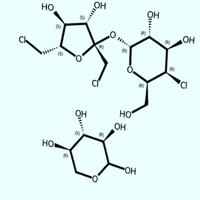 OC1OC[C@@H](O)[C@H](O)[C@H]1O.OC[C@H]1O[C@H](O[C@]2(CCl)O[C@H](CCl)[C@@H](O)[C@@H]2O)[C@H](O)[C@@H](O)[C@H]1Cl